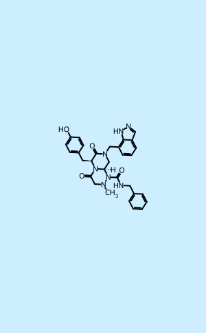 CN1CC(=O)N2[C@@H](CN(Cc3cccc4cn[nH]c34)C(=O)[C@@H]2Cc2ccc(O)cc2)N1C(=O)NCc1ccccc1